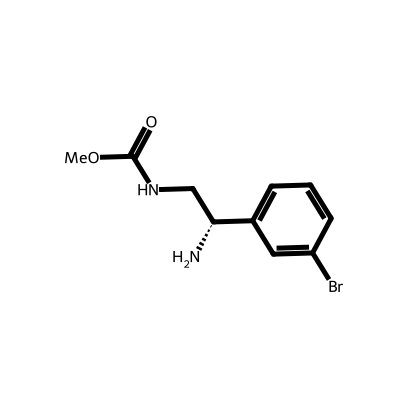 COC(=O)NC[C@@H](N)c1cccc(Br)c1